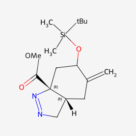 C=C1C[C@@H]2CN=N[C@]2(C(=O)OC)CC1O[Si](C)(C)C(C)(C)C